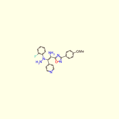 COc1ccc(-c2noc(/C(N)=C(\c3ccncc3)N(N)c3ccccc3F)n2)cc1